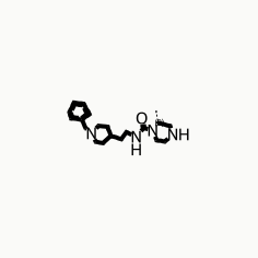 C[C@@H]1CNCCN1C(=O)NCCC1CCN(Cc2ccccc2)CC1